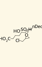 CCCCCCCCCCCCCCCCCC(=O)O.ClCC1CO1.O=S(=O)(O)O